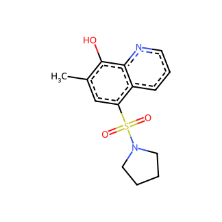 Cc1cc(S(=O)(=O)N2CCCC2)c2cccnc2c1O